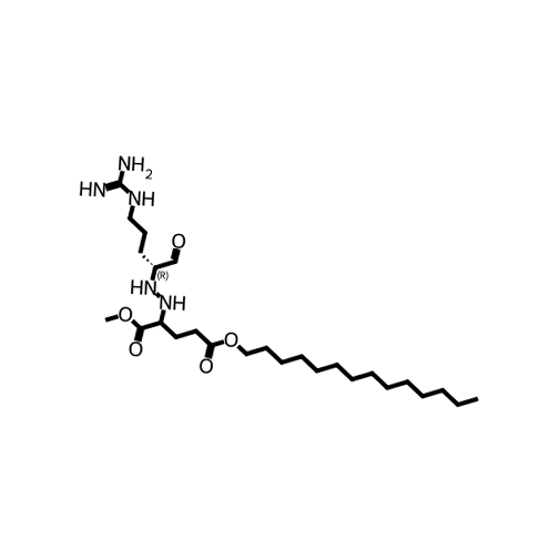 CCCCCCCCCCCCCCOC(=O)CCC(NN[C@@H](C=O)CCCNC(=N)N)C(=O)OC